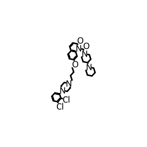 O=C(N1CCC(N2CCCCC2)CC1)n1c(=O)ccc2ccc(OCCCCN3CCN(c4cccc(Cl)c4Cl)CC3)cc21